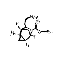 CC(C)(C)OC(=O)N1C(CN)[C@@H]2C[C@H]1[C@H]1C[C@H]12